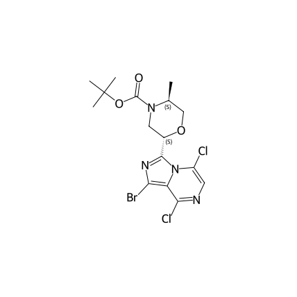 C[C@H]1CO[C@H](c2nc(Br)c3c(Cl)ncc(Cl)n23)CN1C(=O)OC(C)(C)C